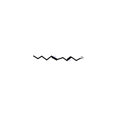 CCCC/C=C/C/C=C/[CH2][Zr]